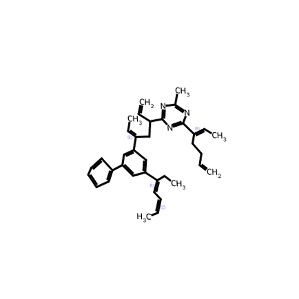 C=CCC/C(=C\C)c1nc(C)nc(C(C=C)C/C(=C\C)c2cc(/C(=C/C=C\C)CC)cc(-c3ccccc3)c2)n1